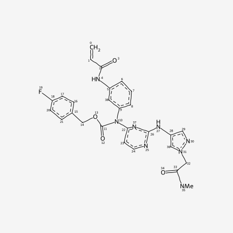 C=CC(=O)Nc1cccc(N(C(=O)OCc2ccc(F)cc2)c2ccnc(Nc3cnn(CC(=O)NC)c3)n2)c1